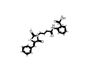 O=C(CCCN1C(=O)S/C(=C\c2ccccc2)C1=O)Nc1ccccc1C(=O)O